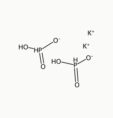 O=[PH]([O-])O.O=[PH]([O-])O.[K+].[K+]